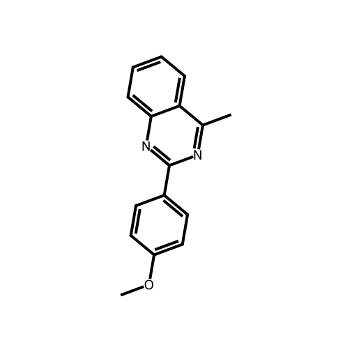 COc1ccc(-c2nc(C)c3ccccc3n2)cc1